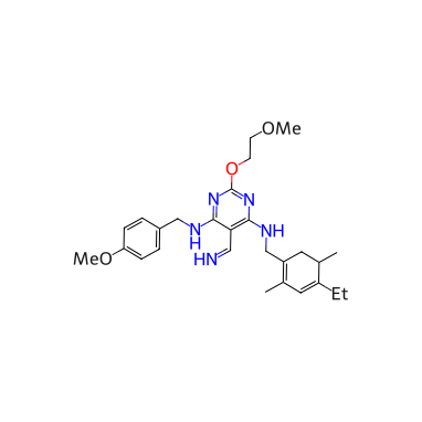 CCC1=CC(C)=C(CNc2nc(OCCOC)nc(NCc3ccc(OC)cc3)c2C=N)CC1C